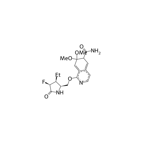 CC[C@@H]1[C@H](F)C(=O)N[C@@H]1COc1nccc2c1=CC(OC)(OC)C(C(N)=O)C=2